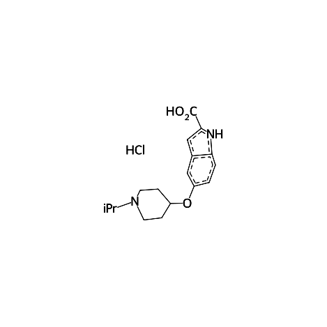 CC(C)N1CCC(Oc2ccc3[nH]c(C(=O)O)cc3c2)CC1.Cl